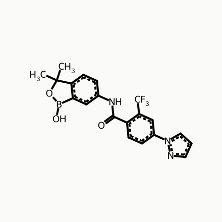 CC1(C)OB(O)c2cc(NC(=O)c3ccc(-n4cccn4)cc3C(F)(F)F)ccc21